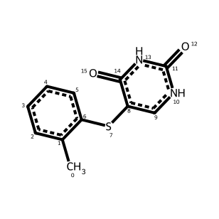 Cc1ccccc1Sc1c[nH]c(=O)[nH]c1=O